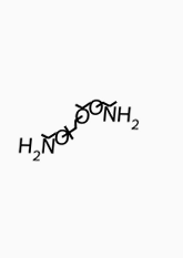 CC(N)COCC(C)OCCC(C)(C)OCC(C)N